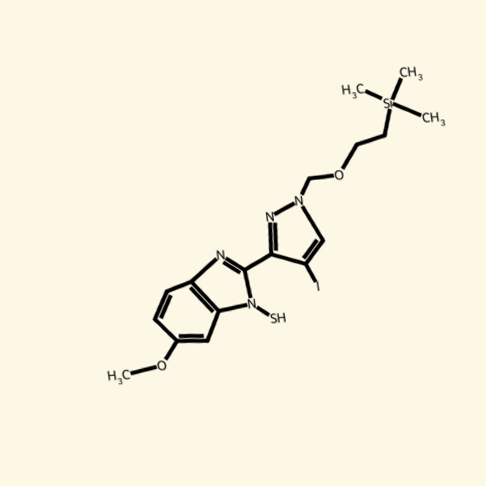 COc1ccc2nc(-c3nn(COCC[Si](C)(C)C)cc3I)n(S)c2c1